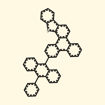 c1ccc(-c2c3ccccc3c(-c3ccc4c(c3)c3ccccc3c3ccc5c6ccccc6sc5c34)c3ccccc23)cc1